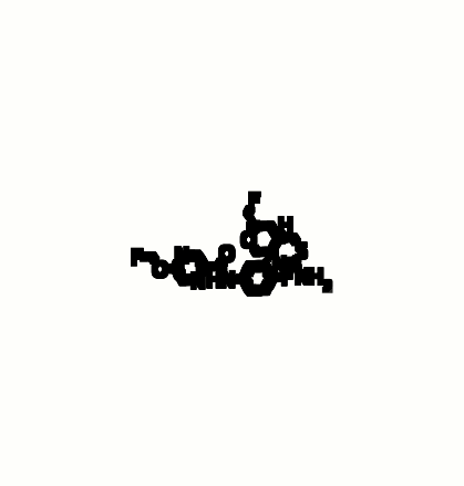 NC1=N[C@@]2(c3cc(NC(=O)c4cnc(OCF)cn4)ccc3F)CO[C@@H](CF)C[C@H]2CS1